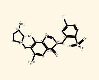 CCS(=O)(=O)c1ccc(Cl)cc1Cn1cnc2c(C#N)c(CN3CC[C@@H](N)C3)c(C(F)(F)F)cc2c1=O